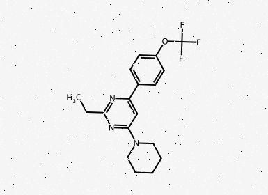 CCc1nc(-c2ccc(OC(F)(F)F)cc2)cc(N2CCCCC2)n1